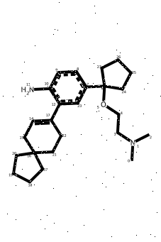 CN(C)CCOC1(c2ccc(N)c(C3=CCC4(CCCC4)CC3)c2)CCCC1